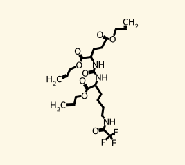 C=CCOC(=O)CCC(NC(=O)NC(CCCCNC(=O)C(F)(F)F)C(=O)OCC=C)C(=O)OCC=C